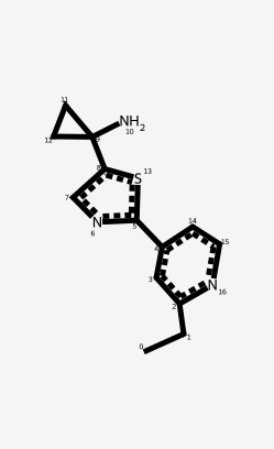 CCc1cc(-c2ncc(C3(N)CC3)s2)ccn1